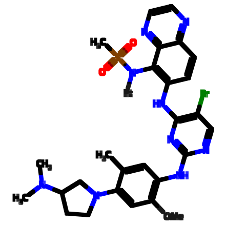 CCN(c1c(Nc2nc(Nc3cc(C)c(N4CCC(N(C)C)C4)cc3OC)ncc2Br)ccc2nccnc12)S(C)(=O)=O